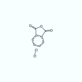 ClCl.O=C1OC(=O)c2ccccc21